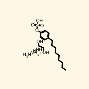 CCCCCCCCCc1ccc(OS(=O)(=O)O)cc1.N.N.N.N.OCCO